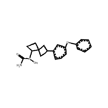 NC(=O)N(O)C1CCC12CC(c1cccc(Oc3ccccc3)c1)C2